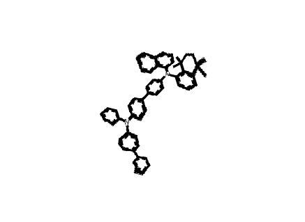 CC1(C)CCC(C)(C)c2c(N(c3ccc(-c4ccc(N(c5ccccc5)c5ccc(-c6ccccc6)cc5)cc4)cc3)c3cccc4ccccc34)cccc21